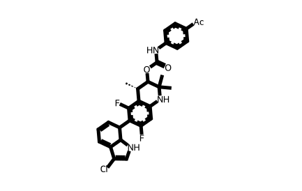 CC(=O)c1ccc(NC(=O)OC2[C@@H](C)c3c(cc(F)c(C4C=CC=C5C(Cl)=CNC54)c3F)NC2(C)C)cc1